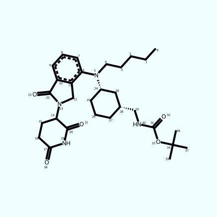 CCCCCN(c1cccc2c1CN(C1CCC(=O)NC1=O)C2=O)[C@H]1CCC[C@@H](CNC(=O)OC(C)(C)C)C1